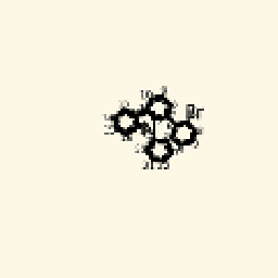 Brc1ccccc1-c1cccc2c3ccccc3n(-c3ccccc3)c12